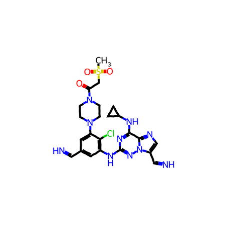 CS(=O)(=O)CC(=O)N1CCN(c2cc(C=N)cc(Nc3nc(NC4CC4)c4ncc(C=N)n4n3)c2Cl)CC1